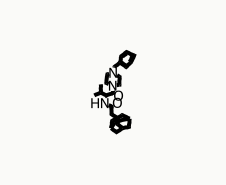 CC(C)[C@@H](NC(=O)CC12CC3CC(CC(C3)C1)C2)C(=O)N1CCN(Cc2ccccc2)CC1